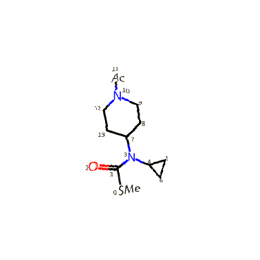 CSC(=O)N(C1CC1)C1CCN(C(C)=O)CC1